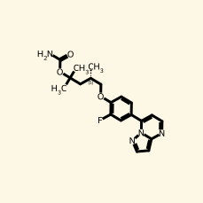 C[C@H](COc1ccc(-c2ccnc3ccnn23)cc1F)CC(C)(C)OC(N)=O